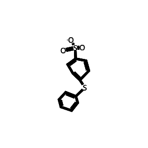 [O]S(=O)(=O)c1ccc(Sc2ccccc2)cc1